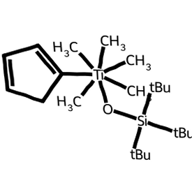 CC(C)(C)[Si]([O][Ti]([CH3])([CH3])([CH3])([CH3])([CH3])[C]1=CC=CC1)(C(C)(C)C)C(C)(C)C